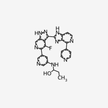 CCC(O)Nc1cncc(-c2ncc3[nH]nc(-c4nc5c(-c6ccncc6)nccc5[nH]4)c3c2F)c1